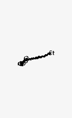 CCC=CCC=CCC=CCC=CCC=CCCCC(=O)OCC1COC(C)(C)O1